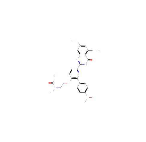 COc1cc(OC)c2c(=O)[nH]c(-c3ccc(OCCN(C(=O)OC(C)(C)C)C(C)C)c(-c4ccc([S+](C)[O-])cc4)n3)nc2c1